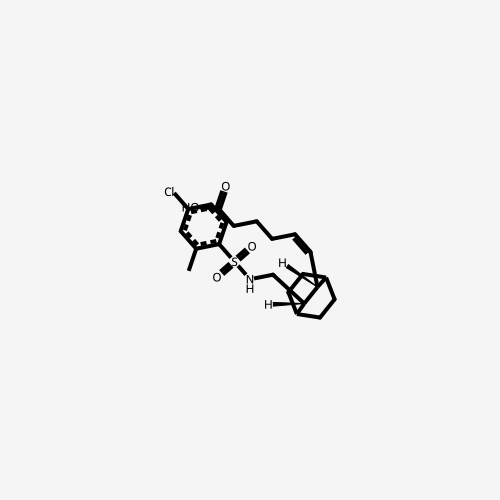 Cc1cc(Cl)ccc1S(=O)(=O)NC[C@H]1C2CCC(CC2)[C@H]1/C=C\CCCC(=O)O